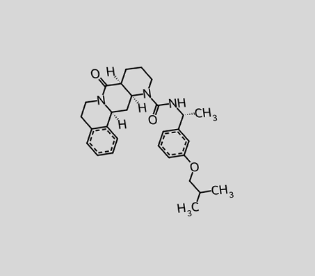 CC(C)COc1cccc([C@@H](C)NC(=O)N2CCC[C@@H]3C(=O)N4CCc5ccccc5[C@@H]4C[C@@H]32)c1